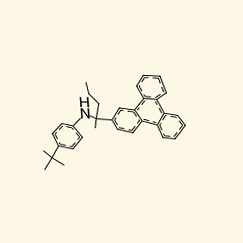 CCCC(C)(Nc1ccc(C(C)(C)C)cc1)c1ccc2c3ccccc3c3ccccc3c2c1